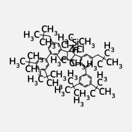 CC1=Cc2c(-c3cc(C(C)(C)C)cc(C(C)(C)C)c3)cc(CC(C)(C)C)cc2[CH]1[Zr]([Cl])([Cl])([CH]1C(C)=Cc2c(-c3cc(C(C)(C)C)cc(C(C)(C)C)c3)cc(CC(C)(C)C)cc21)[SiH](C)C